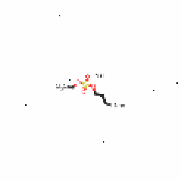 CCCCCCCCCCCCOS(=O)(=O)OCC(Cl)(Cl)Cl.[NaH]